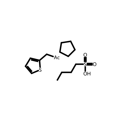 C1CCCC1.CC(=O)Cc1cccs1.CCCCS(=O)(=O)O